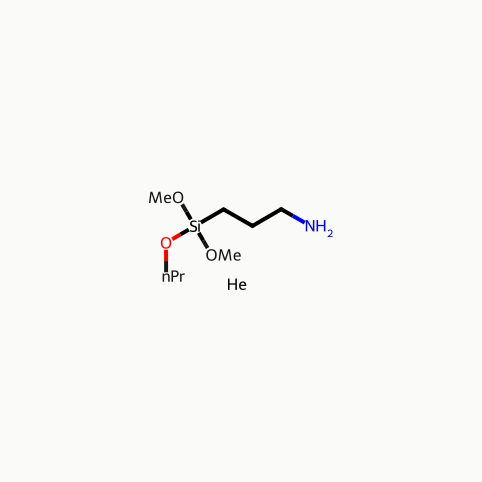 CCCO[Si](CCCN)(OC)OC.[He]